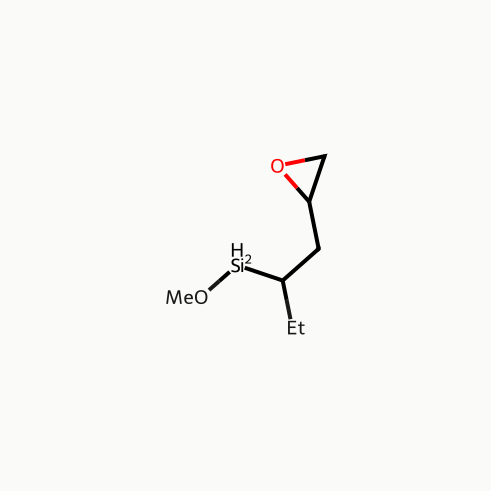 CCC(CC1CO1)[SiH2]OC